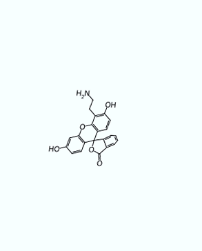 NCCc1c(O)ccc2c1Oc1cc(O)ccc1C21OC(=O)c2ccccc21